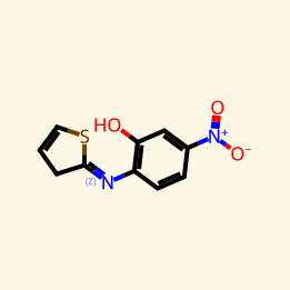 O=[N+]([O-])c1ccc(/N=C2/CC=CS2)c(O)c1